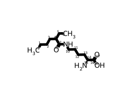 CCCCC(CC)C(=O)NCCCC[C@H](N)C(=O)O